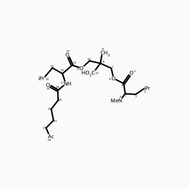 CNC(CC(C)C)C(=O)OCC(C)(COC(=O)C(CC(C)C)NC(=O)CCCCC(C)=O)C(=O)O